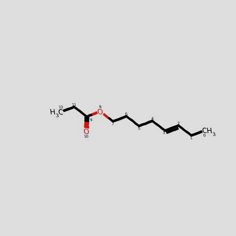 CCC=CCCCCOC(=O)CC